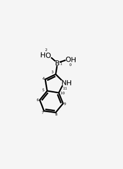 OB(O)c1cc2ccccc2[nH]1